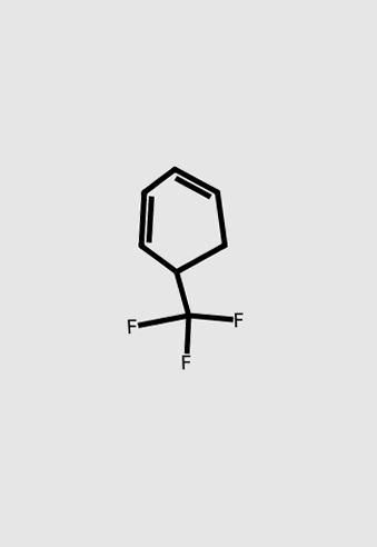 FC(F)(F)C1C=CC=CC1